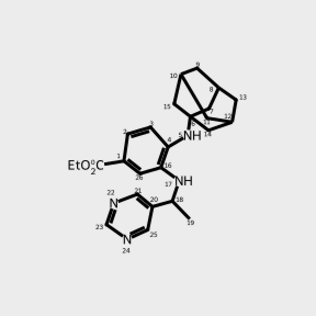 CCOC(=O)c1ccc(NC23CC4CC(CC(C4)C2)C3)c(NC(C)c2cncnc2)c1